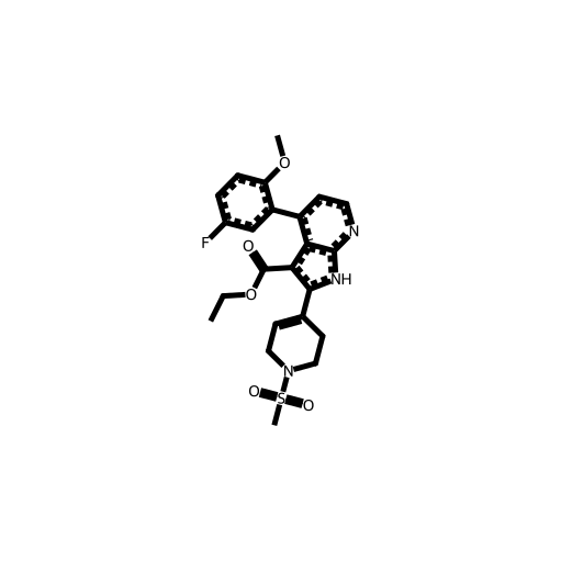 CCOC(=O)c1c(C2=CCN(S(C)(=O)=O)CC2)[nH]c2nccc(-c3cc(F)ccc3OC)c12